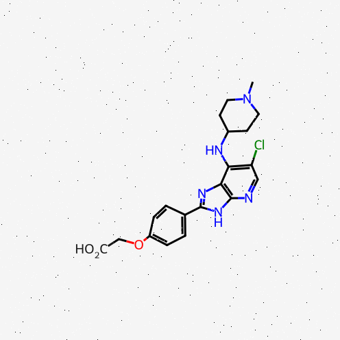 CN1CCC(Nc2c(Cl)cnc3[nH]c(-c4ccc(OCC(=O)O)cc4)nc23)CC1